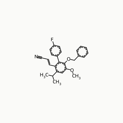 COc1cc(C(C)C)c(/C=C/C#N)c(-c2ccc(F)cc2)c1OCc1ccccc1